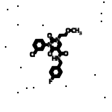 COCCn1cc(C(=O)NCc2ccc(F)cc2)c(=O)n(-c2cccc(Cl)c2)c1=O